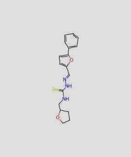 S=C(NCC1CCCO1)NN=Cc1ccc(-c2ccccc2)o1